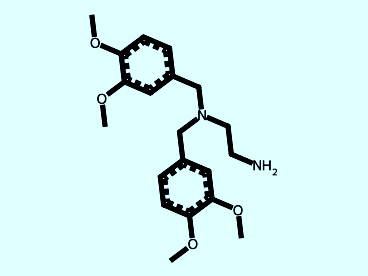 COc1ccc(CN(CCN)Cc2ccc(OC)c(OC)c2)cc1OC